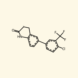 O=C1[C]Cc2cc(-c3ccc(Cl)c(C(F)(F)F)c3)ccc2N1